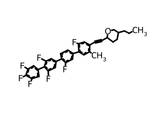 CCCC1CCC(C#Cc2cc(F)c(-c3ccc(-c4cc(F)c(-c5cc(F)c(F)c(F)c5)c(F)c4)c(F)c3)cc2C)OC1